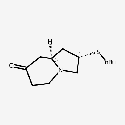 CCCCS[C@H]1C[C@@H]2CC(=O)CCN2C1